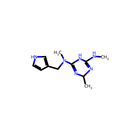 CNC1=NC(C)N=C(N(C)Cc2cc[nH]c2)N1